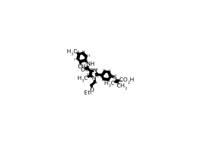 CCOCCn1c(-c2ccc(SC(C)(C)C(=O)O)cc2)nc(C(=O)Nc2ccc(C)cc2C)c1C